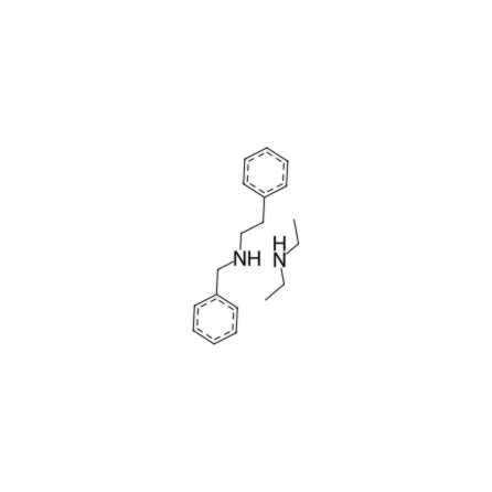 CCNCC.c1ccc(CCNCc2ccccc2)cc1